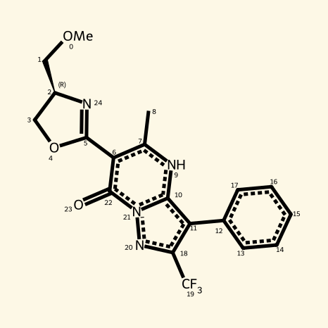 COC[C@@H]1COC(c2c(C)[nH]c3c(-c4ccccc4)c(C(F)(F)F)nn3c2=O)=N1